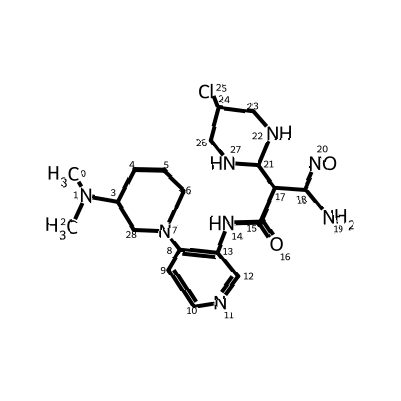 CN(C)C1CCCN(c2ccncc2NC(=O)C(C(N)N=O)C2NCC(Cl)CN2)C1